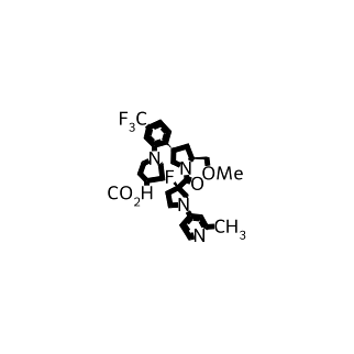 COC[C@@H]1C[C@@H](c2ccc(C(F)(F)F)cc2N2CCC(C(=O)O)CC2)CN1C(=O)[C@@]1(F)CCN(c2ccnc(C)c2)C1